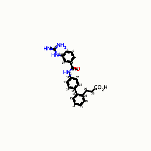 N=C(N)Nc1cccc(C(=O)Nc2ccc(-c3ccccc3CCC(=O)O)cc2)c1